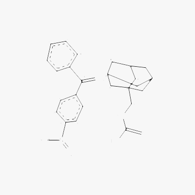 O=C(O)OCC12CC3CC(CC(C3)C1)C2.O=C(c1ccccc1)c1ccc([N+](=O)[O-])cc1